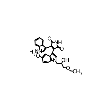 CCOCC(O)Cn1cc(C2=C(c3c[nH]c4ccccc34)C(=O)NC2=O)c2cc(OC)ccc21